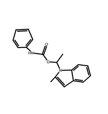 Cc1cc2ccccc2n1C(C)OC(=O)Nc1ccccc1